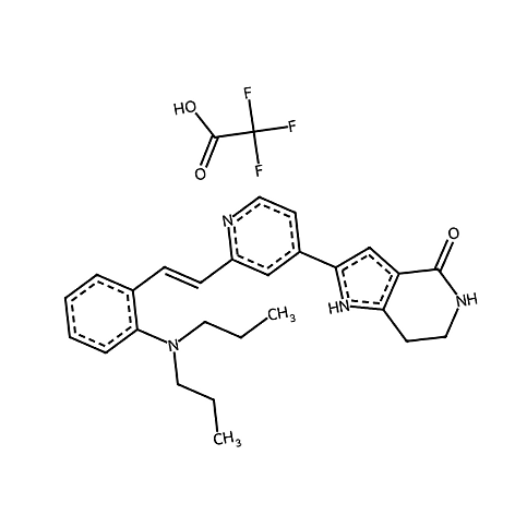 CCCN(CCC)c1ccccc1C=Cc1cc(-c2cc3c([nH]2)CCNC3=O)ccn1.O=C(O)C(F)(F)F